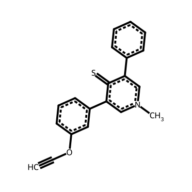 C#COc1cccc(-c2cn(C)cc(-c3ccccc3)c2=S)c1